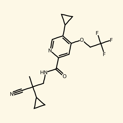 CC(C#N)(CNC(=O)c1cc(OCC(F)(F)F)c(C2CC2)cn1)C1CC1